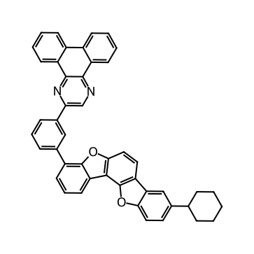 c1cc(-c2cnc3c4ccccc4c4ccccc4c3n2)cc(-c2cccc3c2oc2ccc4c5cc(C6CCCCC6)ccc5oc4c23)c1